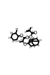 C=C(C)C(=O)OC12CC3CC(C1)CC(OC(C)C(=O)OC1CCCCC1C)(C3)C2